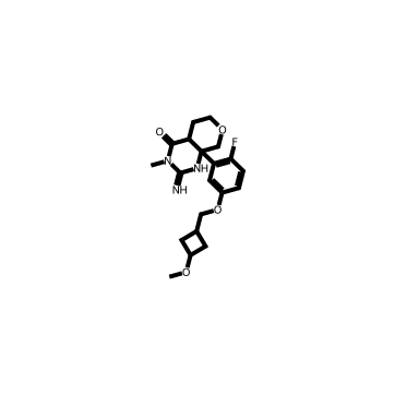 COC1CC(COc2ccc(F)c(C34COCCC3C(=O)N(C)C(=N)N4)c2)C1